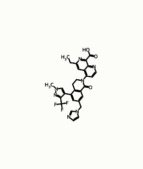 CCc1cc2c(N3CCc4c(cc(Cn5ccnc5)cc4-c4cn(C)nc4C(F)(F)F)C3=O)ccnc2c(C(=O)O)n1